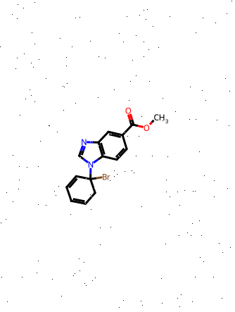 COC(=O)c1ccc2c(c1)ncn2C1(Br)C=CC=CC1